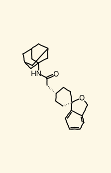 O=C(C[C@H]1CC[C@]2(CC1)OCc1ccccc12)NC12CC3CC(CC(C3)C1)C2